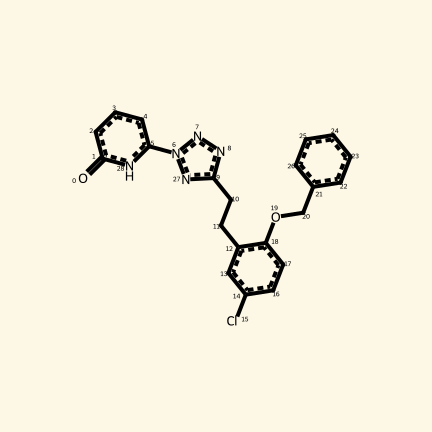 O=c1cccc(-n2nnc(CCc3cc(Cl)ccc3OCc3ccccc3)n2)[nH]1